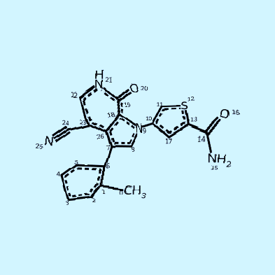 Cc1ccccc1-c1cn(-c2csc(C(N)=O)c2)c2c(=O)[nH]cc(C#N)c12